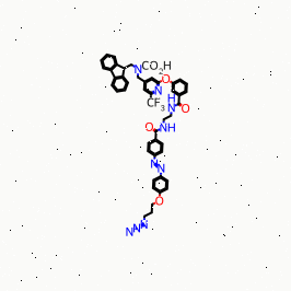 [N-]=[N+]=NCCCOc1ccc(/N=N/c2ccc(C(=O)NCCNC(=O)c3cccc(Oc4cc(CN(CC5c6ccccc6-c6ccccc65)C(=O)O)cc(C(F)(F)F)n4)c3)cc2)cc1